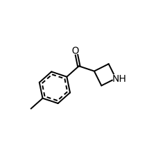 Cc1ccc(C(=O)C2CNC2)cc1